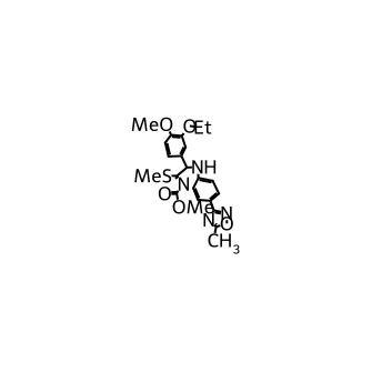 CCOc1cc(C(Nc2ccc(-c3noc(C)n3)cc2)/C(=N/C(=O)OC)SC)ccc1OC